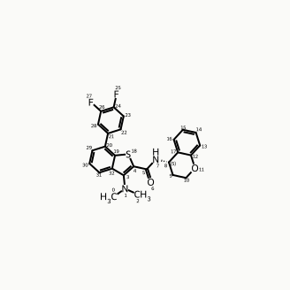 CN(C)c1c(C(=O)N[C@H]2CCOc3ccccc32)sc2c(-c3ccc(F)c(F)c3)cccc12